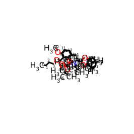 CCCCOC(=O)c1c(OC)ccc(C[C@@H](B2OC3C[C@@H]4C[C@@H](C4(C)C)[C@]3(C)O2)N([Si](C)(C)C)[Si](C)(C)C)c1OC(=O)OC(C)(C)C